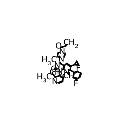 C=CC(=O)N1CCN(c2nc(=O)n(-c3c(C)ccnc3C(C)C)c3nc(-c4cc(F)ccc4F)c(C4CC4)cc23)[C@@H](C)C1